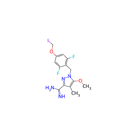 COc1c(C)c(C(=N)N)nn1Cc1c(F)cc(OCI)cc1F